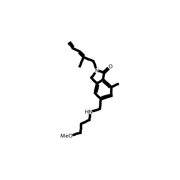 C=C/C=C(\C)CN1Cc2cc(CNCCCOC)cc(C)c2C1=O